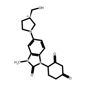 Cn1c(=O)n(C2CCC(=O)CC2=O)c2ccc(N3CC[C@@H](CO)C3)cc21